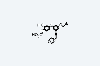 Cc1cc(Sc2cc(C#CCN3CCOCC3)cc(OCC3CC3)c2)ccc1OCC(=O)O